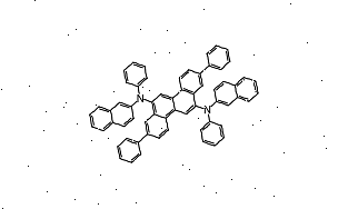 c1ccc(-c2ccc3c(c2)c(N(c2ccccc2)c2ccc4ccccc4c2)cc2c4ccc(-c5ccccc5)cc4c(N(c4ccccc4)c4ccc5ccccc5c4)cc32)cc1